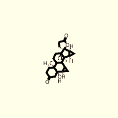 C[C@]12CCC3C(C4C[C@H]4[C@]4(O)CC(=O)CC[C@]34C)C1[C@@H]1C[C@@H]1[C@@]21CCC(=O)O1